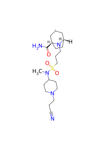 CN(C1CCN(CCC#N)CC1)S(=O)(=O)CCCN1[C@@H]2C[CH]C[C@@]1(C(N)=O)CC2